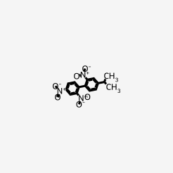 CC(C)c1ccc(-c2ccc([N+](=O)[O-])cc2[N+](=O)[O-])c([N+](=O)[O-])c1